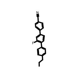 CCCc1ccc(-c2ccc(-c3ccc(C#N)cc3)cc2F)cc1